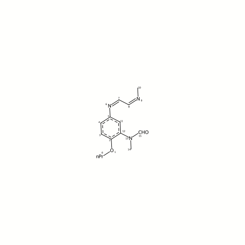 CCCOc1ccc(/N=C\C=N/C)cc1N(C)C=O